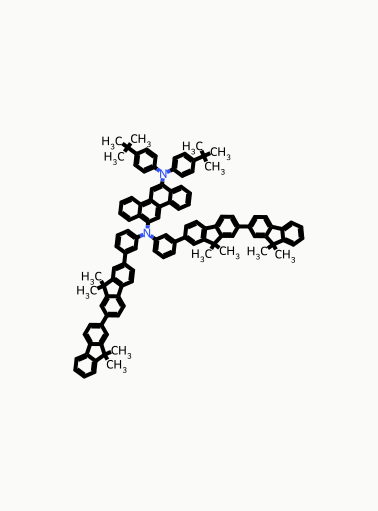 CC(C)(C)c1ccc(N(c2ccc(C(C)(C)C)cc2)c2cc3c4ccccc4c(N(c4cccc(-c5ccc6c(c5)C(C)(C)c5cc(-c7ccc8c(c7)C(C)(C)c7ccccc7-8)ccc5-6)c4)c4cccc(-c5ccc6c(c5)C(C)(C)c5cc(-c7ccc8c(c7)C(C)(C)c7ccccc7-8)ccc5-6)c4)cc3c3ccccc23)cc1